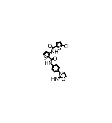 N=C1OCCN1c1ccc(NC(=O)c2sccc2NC(=O)c2ccc(Cl)s2)cc1